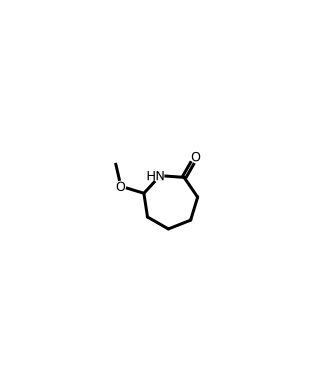 COC1CCCCC(=O)N1